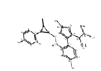 Cc1ccc(C2C(C)C2COc2nc(C)ncc2-c2cn(C)nc2C(O)C(F)F)nc1